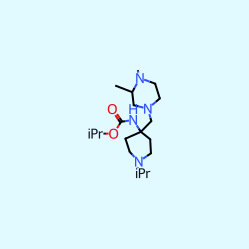 CC(C)OC(=O)NC1(CN2CCN(C)C(C)C2)CCN(C(C)C)CC1